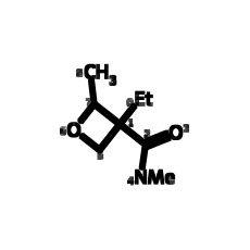 CCC1(C(=O)NC)COC1C